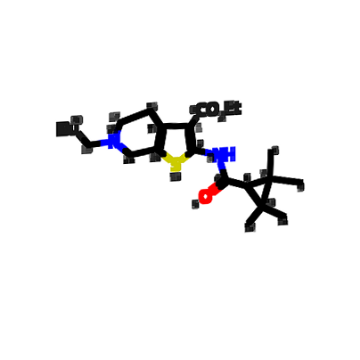 CCOC(=O)c1c(NC(=O)C2C(C)(C)C2(C)C)sc2c1CCN(CC(C)CC)C2